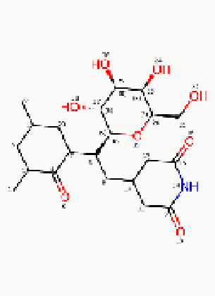 CC1CC(C)C(=O)C(C(CC2CC(=O)NC(=O)C2)[C@@H]2O[C@H](CO)[C@H](O)[C@H](O)[C@H]2O)C1